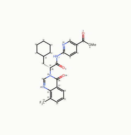 COC(=O)c1ccc(NC(=O)[C@@H](CC2CCCCC2)n2cnc3c(C(F)(F)F)cccc3c2=O)nc1